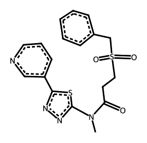 CN(C(=O)CCS(=O)(=O)Cc1ccccc1)c1nnc(-c2cccnc2)s1